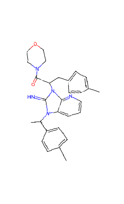 Cc1ccc(CC(C(=O)N2CCOCC2)n2c(=N)n(C(C)c3ccc(C)cc3)c3cccnc32)cc1